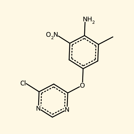 Cc1cc(Oc2cc(Cl)ncn2)cc([N+](=O)[O-])c1N